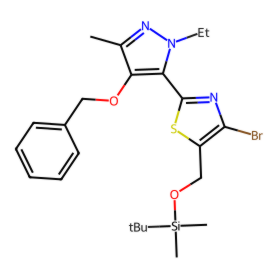 CCn1nc(C)c(OCc2ccccc2)c1-c1nc(Br)c(CO[Si](C)(C)C(C)(C)C)s1